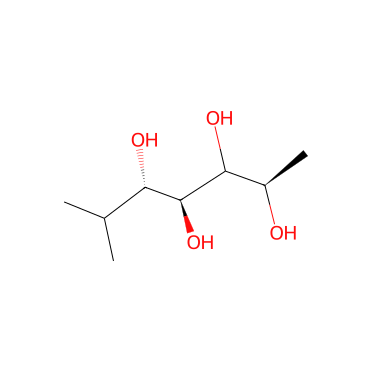 CC(C)[C@H](O)[C@H](O)C(O)[C@@H](C)O